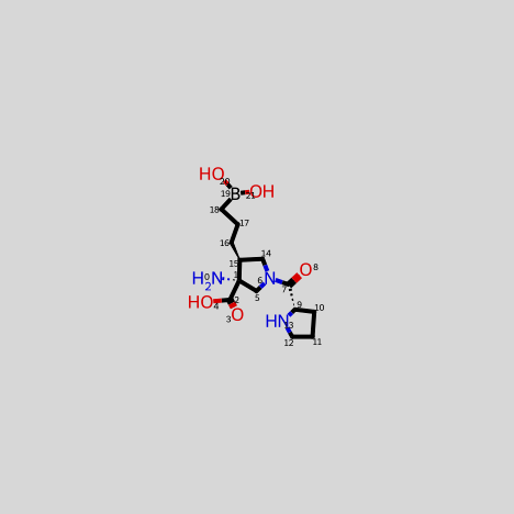 N[C@@]1(C(=O)O)CN(C(=O)[C@@H]2CCCN2)C[C@@H]1CCCB(O)O